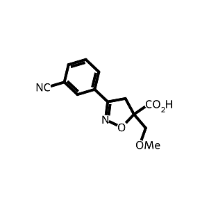 COCC1(C(=O)O)CC(c2cccc(C#N)c2)=NO1